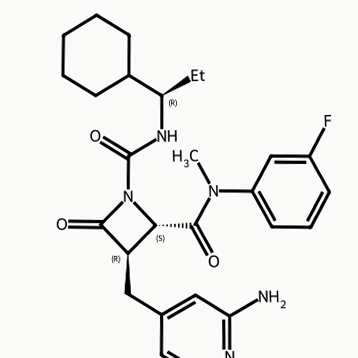 CC[C@@H](NC(=O)N1C(=O)[C@H](Cc2ccnc(N)c2)[C@H]1C(=O)N(C)c1cccc(F)c1)C1CCCCC1